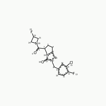 O=C(C1CCc2nn(Cc3ccc(F)c(Cl)c3)c(=O)n21)N1CC(F)C1